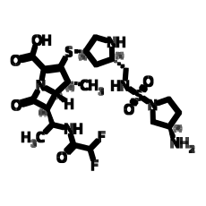 CC(NC(=O)C(F)F)[C@H]1C(=O)N2C(C(=O)O)=C(S[C@@H]3CN[C@H](CNS(=O)(=O)N4CC[C@@H](N)C4)C3)[C@H](C)[C@H]12